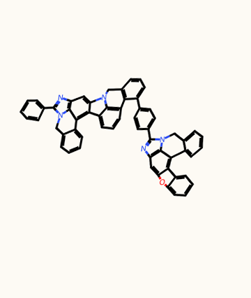 c1ccc(-c2nc3cc4c(c5c3n2Cc2ccccc2-5)c2cccc3c2n4Cc2cccc(-c4ccc(-c5nc6cc7oc8ccccc8c7c7c6n5Cc5ccccc5-7)cc4)c2-3)cc1